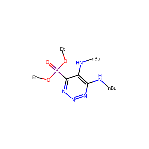 CCCCNc1nnnc(P(=O)(OCC)OCC)c1NCCCC